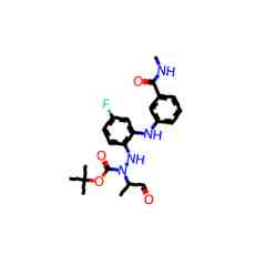 CNC(=O)c1cccc(Nc2cc(F)ccc2NN(C(=O)OC(C)(C)C)C(C)C=O)c1